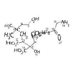 C[N+](C)(C)CCO.O=C(O)CC(O)(CC(=O)O)C(=O)O.[CH3][Fe][C](=O)CN